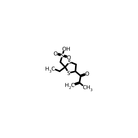 C=C(C)C(=O)C1CSC(CC)(CS(=O)(=O)O)S1